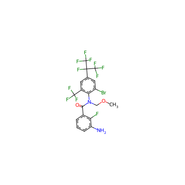 COCN(C(=O)c1cccc(N)c1F)c1c(Br)cc(C(F)(C(F)(F)F)C(F)(F)F)cc1C(F)(F)F